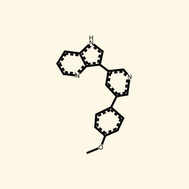 COc1ccc(-c2cncc(-c3c[nH]c4cccnc34)c2)cc1